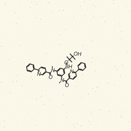 CN(C(=O)c1ccc(-c2ccccc2)nc1)c1cc(BOC(C)(C)C(C)(C)O)cc(N(C)C(=O)c2ccc(-c3ccccc3)nc2)c1